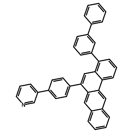 c1ccc(-c2cccc(-c3cccc4c3cc(-c3ccc(-c5cccnc5)cc3)c3cc5ccccc5cc34)c2)cc1